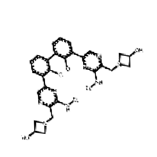 CCNc1nc(-c2cccc(-c3cccc(-c4cnc(CN5CC(O)C5)c(NCC)n4)c3Cl)c2Cl)cnc1CN1CC(O)C1